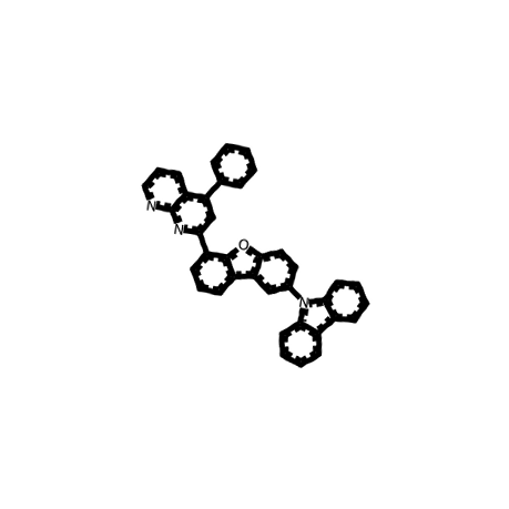 c1ccc(-c2cc(-c3cccc4c3oc3ccc(-n5c6ccccc6c6ccccc65)cc34)nc3ncccc23)cc1